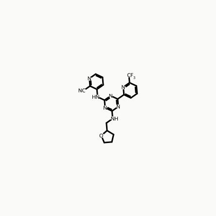 N#Cc1ncccc1Nc1nc(NCC2CCCO2)nc(-c2cccc(C(F)(F)F)n2)n1